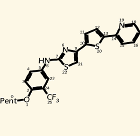 CCCCCOc1ccc(Nc2nc(-c3ccc(-c4ccccn4)s3)cs2)cc1C(F)(F)F